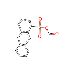 O=COS(=O)(=O)c1cccc2cc3ccccc3cc12